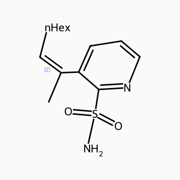 CCCCCC/C=C(/C)c1cccnc1S(N)(=O)=O